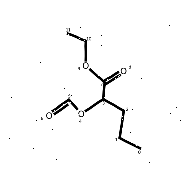 CCCC(O[C]=O)C(=O)OCC